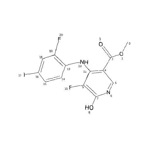 COC(=O)c1cnc(O)c(F)c1Nc1ccc(I)cc1F